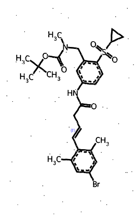 Cc1cc(Br)cc(C)c1/C=C/CC(=O)Nc1ccc(S(=O)(=O)C2CC2)c(CN(C)C(=O)OC(C)(C)C)c1